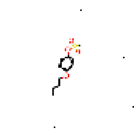 CCCCOc1ccc(OS(C)(=O)=O)cc1